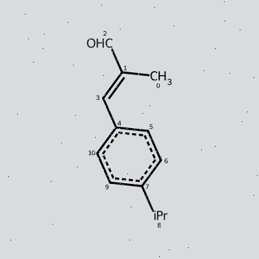 CC(C=O)=Cc1ccc(C(C)C)cc1